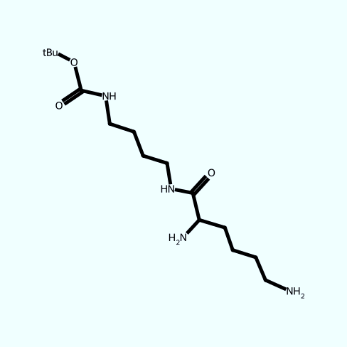 CC(C)(C)OC(=O)NCCCCNC(=O)C(N)CCCCN